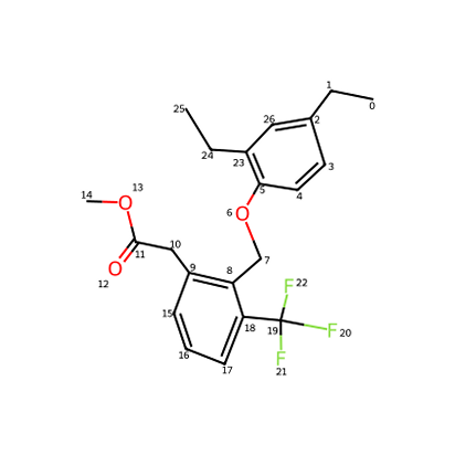 CCc1ccc(OCc2c(CC(=O)OC)cccc2C(F)(F)F)c(CC)c1